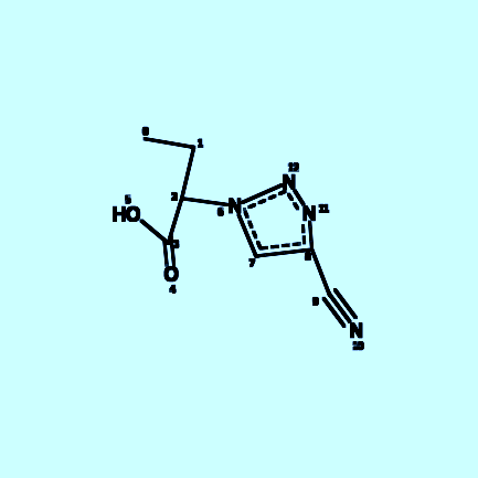 CCC(C(=O)O)n1cc(C#N)nn1